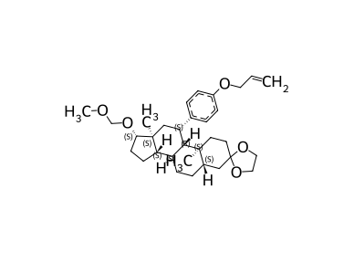 C=CCOc1ccc([C@H]2C[C@]3(C)[C@@H](OCOC)CC[C@H]3[C@@H]3CC[C@H]4CC5(CC[C@]4(C)[C@H]32)OCCO5)cc1